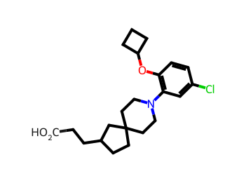 O=C(O)CCC1CCC2(CCN(c3cc(Cl)ccc3OC3CCC3)CC2)C1